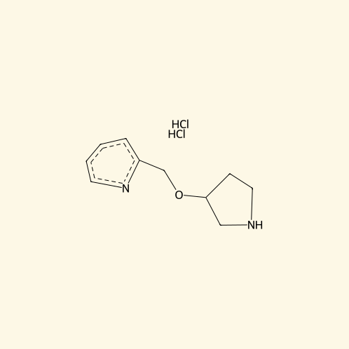 Cl.Cl.c1ccc(COC2CCNC2)nc1